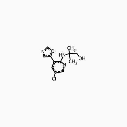 CC(C)(CO)Nc1ncc(Cl)cc1-c1cnco1